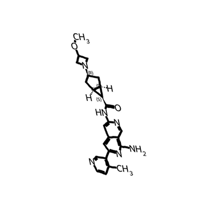 COC1CN([C@H]2C[C@@H]3[C@H](C2)[C@@H]3C(=O)Nc2cc3cc(-c4cnccc4C)nc(N)c3cn2)C1